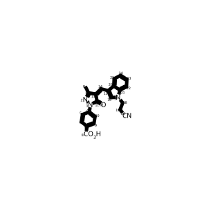 CC1=NN(c2ccc(C(=O)O)cc2)C(=O)C1=Cc1cn(CCC#N)c2ccccc12